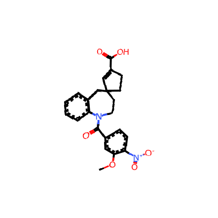 COc1cc(C(=O)N2CCC3(C=C(C(=O)O)CC3)Cc3ccccc32)ccc1[N+](=O)[O-]